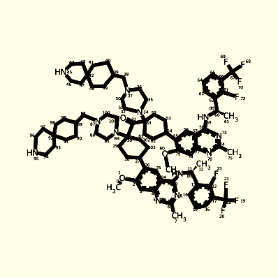 COc1cc2nc(C)nc(N[C@H](C)c3cccc(C(F)(F)F)c3F)c2cc1C1CCC(C(=O)C2(N3CCN(CC4CCC5(CCNCC5)CC4)CC3)CCC(c3cc4c(N[C@H](C)c5cccc(C(F)(F)F)c5F)nc(C)nc4cc3OC)CC2)(N2CCN(CC3CCC4(CCNCC4)CC3)CC2)CC1